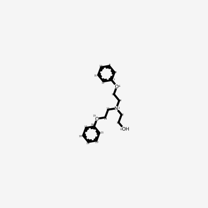 OCCN(CCOc1ccccc1)CCOc1ccccc1